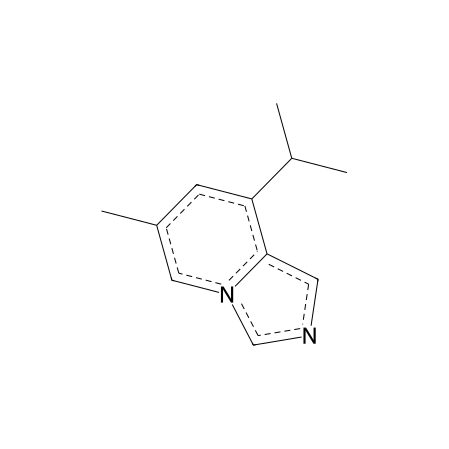 Cc1cc(C(C)C)c2cncn2c1